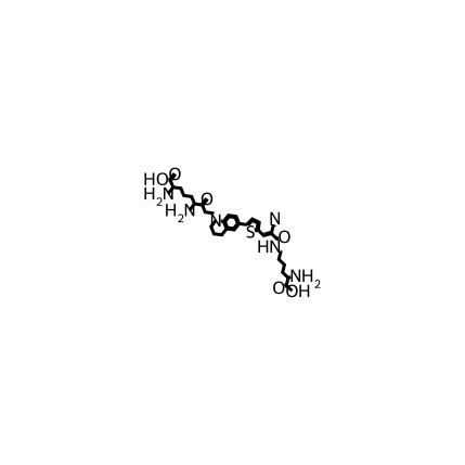 N#C/C(=C\c1ccc(-c2ccc3c(c2)CCCN3CCC(=O)C(N)CCCC(N)C(=O)O)s1)C(=O)NCCCCC(N)C(=O)O